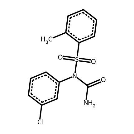 Cc1ccccc1S(=O)(=O)N(C(N)=O)c1cccc(Cl)c1